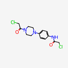 O=C(CCl)Nc1ccc(N2CCN(C(=O)CCl)CC2)cc1